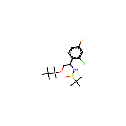 CC(C)(C)[S+]([O-])NC(CO[Si](C)(C)C(C)(C)C)c1ccc(Br)cc1Cl